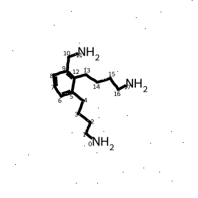 NCCCCc1cccc(CN)c1CCCCN